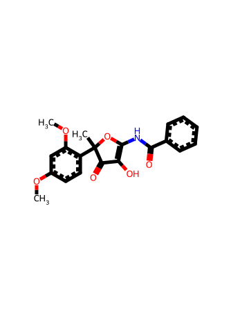 COc1ccc(C2(C)OC(NC(=O)c3ccccc3)=C(O)C2=O)c(OC)c1